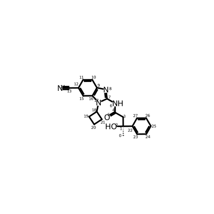 C[C@](O)(CC(=O)Nc1nc2ccc(C#N)cc2n1C1CCC1)c1ccccc1